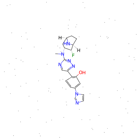 CN(c1ncc(-c2ccc(-n3ccnc3)cc2O)nn1)[C@@H]1C[C@H]2CC[C@H](N2)[C@@H]1F